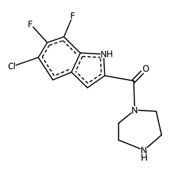 O=C(c1cc2cc(Cl)c(F)c(F)c2[nH]1)N1CCNCC1